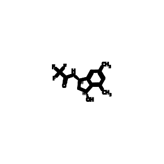 Cc1cc(C)c2c(c1)[C@H](NC(=O)C(F)(F)F)C[C@H]2O